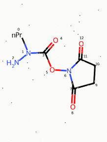 CCCN(N)C(=O)ON1C(=O)CCC1=O